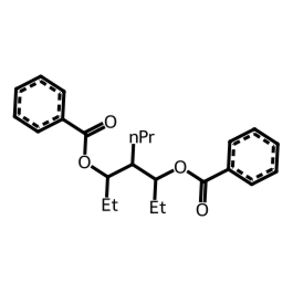 CCCC(C(CC)OC(=O)c1ccccc1)C(CC)OC(=O)c1ccccc1